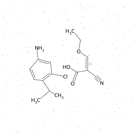 CC(C)c1ccc(N)cc1Cl.CCO/C=C(/C#N)C(=O)O